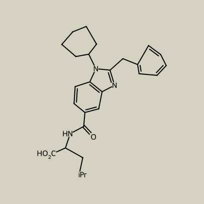 CC(C)CC(NC(=O)c1ccc2c(c1)nc(Cc1ccccc1)n2C1CCCCC1)C(=O)O